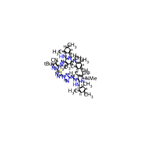 CNc1nc(Nc2c(C)cc(C)cc2C)c(N=Nc2ncn(-c3nnc(-n4nc(C(C)(C)C)c(C#N)c4N=Nc4c(C)cc(N(C)c5c(C)cc(C)cc5C)nc4Nc4c(C)cc(C)cc4C)s3)n2)c(C)c1C#N